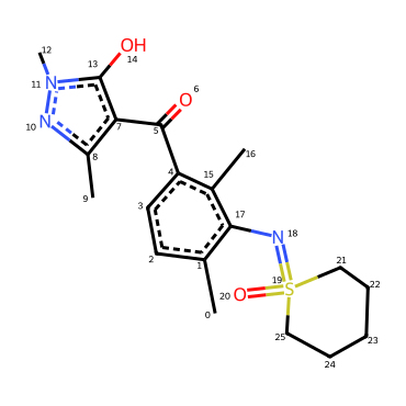 Cc1ccc(C(=O)c2c(C)nn(C)c2O)c(C)c1N=S1(=O)CCCCC1